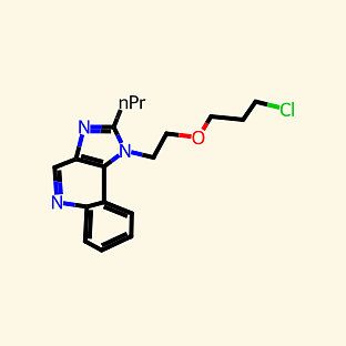 CCCc1nc2cnc3ccccc3c2n1CCOCCCCl